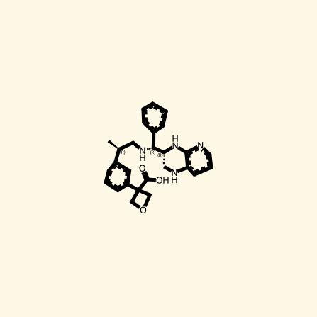 C[C@@H](CN[C@H](c1ccccc1)[C@H]1CNc2cccnc2N1)c1cccc(C2(C(=O)O)COC2)c1